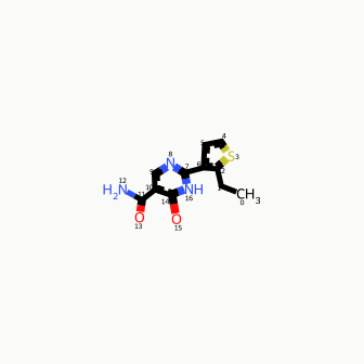 CCc1sccc1-c1ncc(C(N)=O)c(=O)[nH]1